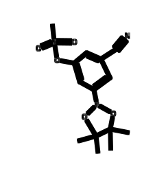 CC1(C)OB(c2cc(C#N)cc(OS(C)(=O)=O)c2)OC1(C)C